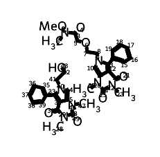 CON(C)C(=O)COCCn1cc2c(c1-c1ccccc1)c(=O)n(C)c(=O)n2C.Cn1c(=O)c2c(-c3ccccc3)n(CCO)cc2n(C)c1=O